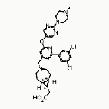 CN1CCN(c2ncc(Oc3cc(CN4CC[C@@H]5[C@H](CC4)[C@@H]5CC(=O)O)cc(-c4cc(Cl)cc(Cl)c4)n3)cn2)CC1